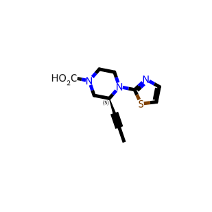 CC#C[C@H]1CN(C(=O)O)CCN1c1nccs1